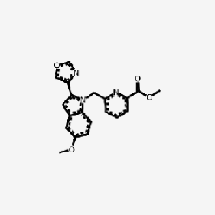 COC(=O)c1cccc(Cn2c(-c3cocn3)cc3cc(OC)ccc32)n1